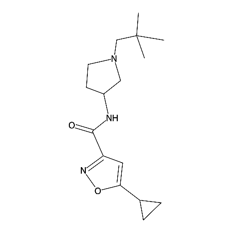 CC(C)(C)CN1CCC(NC(=O)c2cc(C3CC3)on2)C1